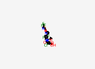 O=C(O)c1cc(Cl)c2c(=O)n(Cc3cc(F)c(-c4cccc(OCc5ncc(C(F)(F)F)s5)n4)cc3F)n(C[C@@H]3CCO3)c2c1